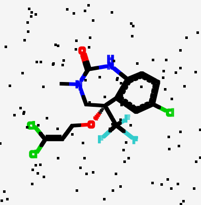 CN1C[C@](OCC=C(Cl)Cl)(C(F)(F)F)c2cc(Cl)ccc2NC1=O